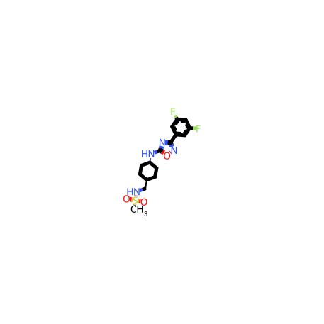 CS(=O)(=O)NC[C@H]1CC[C@H](Nc2nc(-c3cc(F)cc(F)c3)no2)CC1